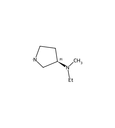 CCN(C)[C@@H]1CC[N]C1